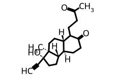 C#C[C@]1(O)CC[C@H]2[C@@H]3CCC(=O)C(CCC(C)=O)[C@H]3CC[C@@]21C